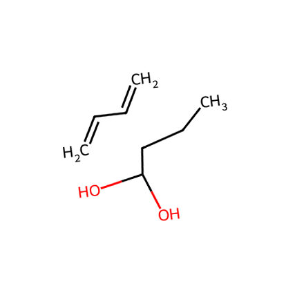 C=CC=C.CCCC(O)O